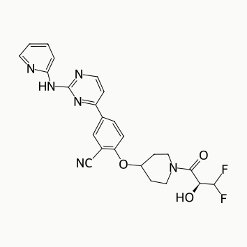 N#Cc1cc(-c2ccnc(Nc3ccccn3)n2)ccc1OC1CCN(C(=O)[C@H](O)C(F)F)CC1